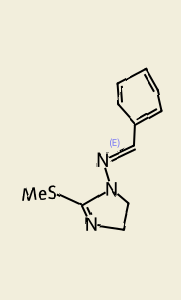 CSC1=NCCN1/N=C/c1ccccc1